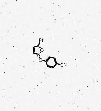 CCC1C=CN(Oc2ccc(C#N)cc2)O1